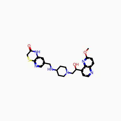 COc1ccc2nccc(C(O)CN3CCC(NCc4cnc5c(c4)NC(=O)CS5)CC3)c2n1